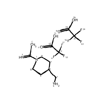 CC(=N)N1CCC(CN)CC1.O=C(O)C(F)(F)F.O=C(O)C(F)(F)F